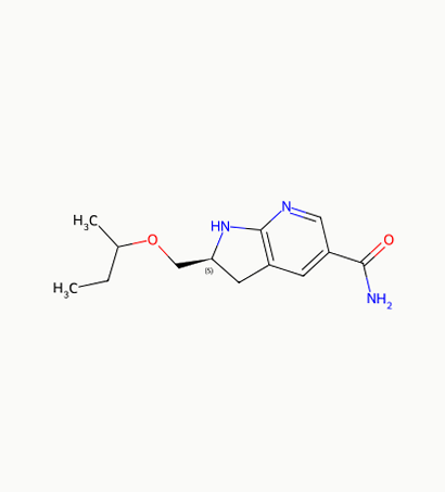 CCC(C)OC[C@@H]1Cc2cc(C(N)=O)cnc2N1